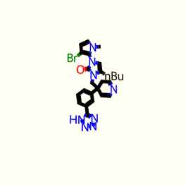 CCCCc1cn(-c2c(Br)ccn2C)c(=O)n1CC1(c2cccc(-c3nnn[nH]3)c2)C=CN=CC1